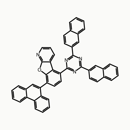 c1ccc2cc(-c3nc(-c4ccc5ccccc5c4)nc(-c4ccc(-c5cc6ccccc6c6ccccc56)c5oc6ncccc6c45)n3)ccc2c1